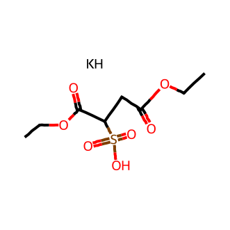 CCOC(=O)CC(C(=O)OCC)S(=O)(=O)O.[KH]